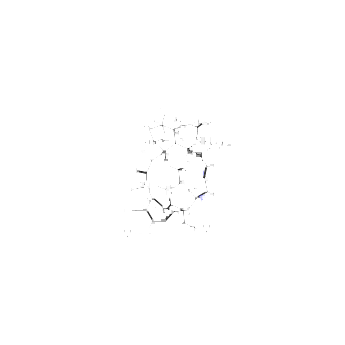 COc1cc2cc(c1Cl)N(C)C(=O)C[C@@]1(OC(=O)[C@H](C)N(C)C(=O)CCSC)C3[C@H](OC(=O)N[C@@]3(O)[C@H](OC)/C=C/C=C(\C)C2)C2(C)C[C@@]1(C)O2